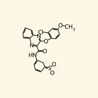 COc1ccc(Oc2nc3ccccc3nc2C(=O)NC2=CC=CC(=S(=O)=O)C2)c(Cl)c1